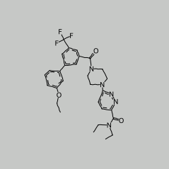 CCOc1cccc(-c2cc(C(=O)N3CCN(c4ccc(C(=O)N(CC)CC)nn4)CC3)cc(C(F)(F)F)c2)c1